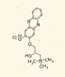 C[N+](C)(C)CC(O)COc1cc2nc3ccccc3nc2cc1O.[Cl-]